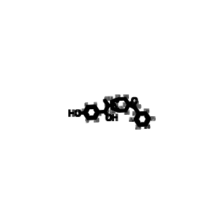 CC(C(O)c1ccc(O)cc1)N1C2CCC1CC1(C2)OC1c1ccccc1